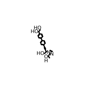 CC(O)c1nccn1C(C#Cc1ccc(-c2ccc(C(O)CO)cc2)cc1)CO